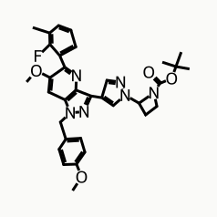 COc1ccc(Cn2nc(-c3cnn(C4CCN4C(=O)OC(C)(C)C)c3)c3nc(-c4cccc(C)c4F)c(OC)cc32)cc1